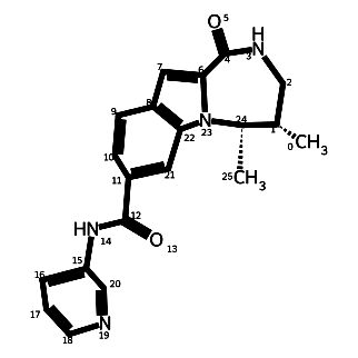 C[C@H]1CNC(=O)c2cc3ccc(C(=O)Nc4cccnc4)cc3n2[C@H]1C